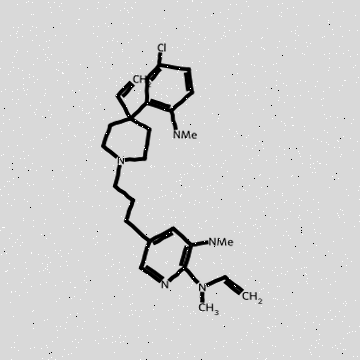 C=CN(C)c1ncc(CCCN2CCC(C=C)(c3cc(Cl)ccc3NC)CC2)cc1NC